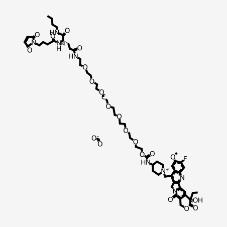 CCCCNC(=O)[C@H](CCC(=O)NCCOCCOCCOCCOCCOCCOCCOCCOC(=O)NC1CC[N+](C)(Cc2c3c(nc4cc(F)c(OC)cc24)-c2cc4c(c(=O)n2C3)COC(=O)[C@]4(O)CC)CC1)NC(=O)CCCN1C(=O)C=CC1=O.O=C[O-]